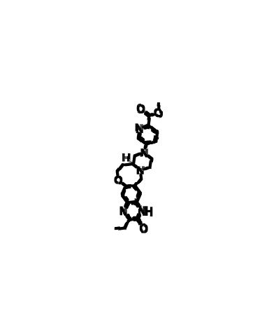 CCc1nc2cc3c(cc2[nH]c1=O)CN1CCN(c2ccc(C(=O)OC)nc2)C[C@@H]1CCO3